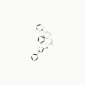 CC(CN1CCN(c2ncccn2)CC1)NC(=O)c1cc(-c2ccccc2)nn1-c1ccccc1